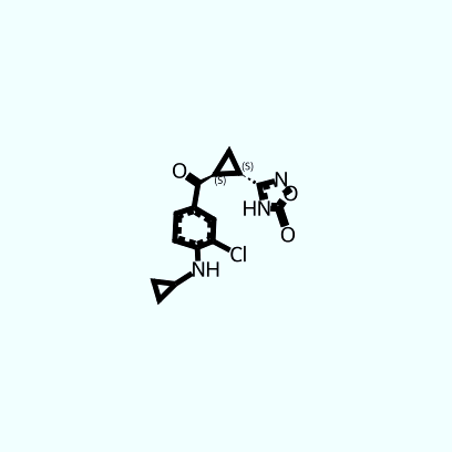 O=C(c1ccc(NC2CC2)c(Cl)c1)[C@H]1C[C@@H]1c1noc(=O)[nH]1